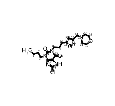 CCCCn1c(=O)n(CCCc2nc(CN3CCOCC3)no2)c(=O)c2[nH]c(Cl)nc21